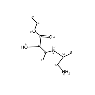 CCOC(=O)C(O)C(C)NC(C)CN